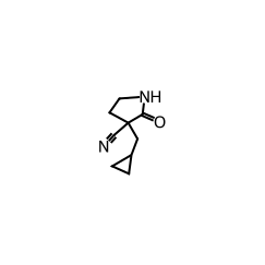 N#CC1(CC2CC2)CCNC1=O